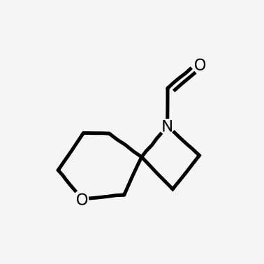 O=CN1CCC12CCCOC2